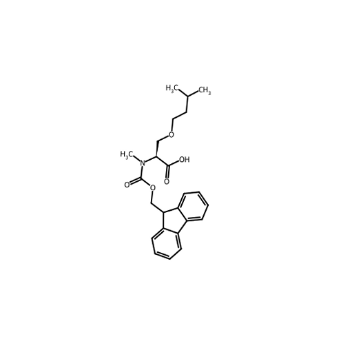 CC(C)CCOC[C@@H](C(=O)O)N(C)C(=O)OCC1c2ccccc2-c2ccccc21